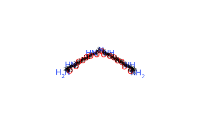 C/C(CCC(=O)NCCOCCOCCOCCOCCC(=O)NCCCC[C@H](C)C(N)=O)=N/OCC(=O)NCCOCCOCCOCCOCCC(=O)NCCCC[C@H](C)C(N)=O